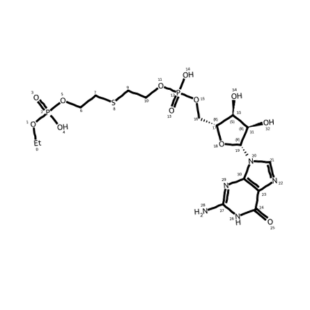 CCOP(=O)(O)OCCSCCOP(=O)(O)OC[C@H]1O[C@@H](n2cnc3c(=O)[nH]c(N)nc32)[C@H](O)[C@@H]1O